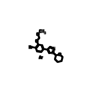 COCOc1cc(-c2cnn(C3CCCCO3)c2)ccc1Br.[Ar]